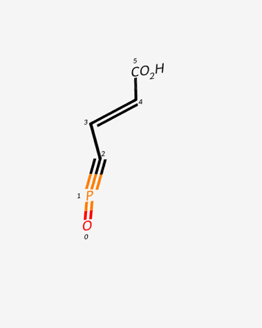 O=P#C/C=C/C(=O)O